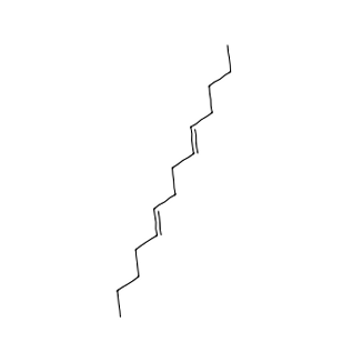 CCCCC=CCCC=CCCCC